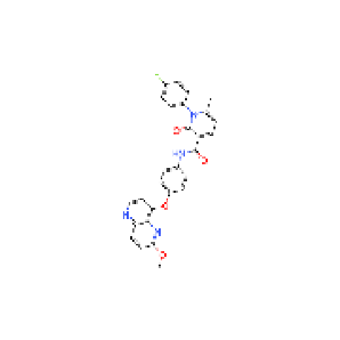 COc1ccc2nccc(Oc3ccc(NC(=O)c4ccc(C)n(-c5ccc(F)cc5)c4=O)cc3)c2n1